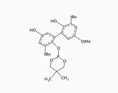 COc1cc(-c2cc(O)cc(C(C)(C)C)c2OP2OCC(C)(C)CO2)c(O)c(C(C)(C)C)c1